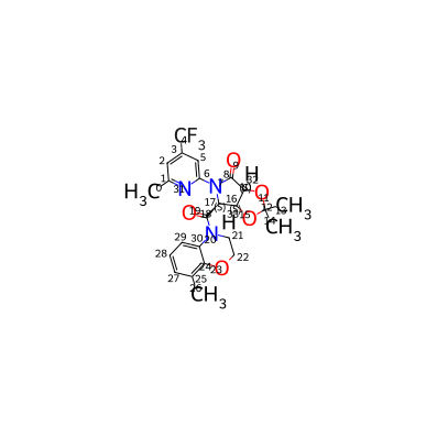 Cc1cc(C(F)(F)F)cc(N2C(=O)[C@H]3OC(C)(C)O[C@H]3[C@H]2C(=O)N2CCOc3c(C)cccc32)n1